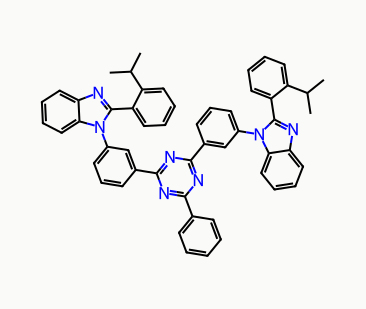 CC(C)c1ccccc1-c1nc2ccccc2n1-c1cccc(-c2nc(-c3ccccc3)nc(-c3cccc(-n4c(-c5ccccc5C(C)C)nc5ccccc54)c3)n2)c1